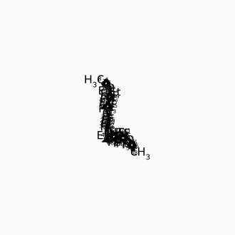 CCC(CC)(Oc1ccc(C)cc1)c1c(F)c(F)c(-c2c(F)c(F)c(OCC(F)(F)C(F)(F)C(F)(F)C(F)(F)COC(CC)(c3c(F)c(F)c(-c4c(F)c(F)c(Oc5ccc(C)cc5)c(F)c4F)c(F)c3F)C3CC3)c(F)c2F)c(F)c1F